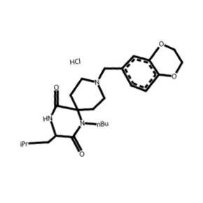 CCCCN1C(=O)C(CC(C)C)NC(=O)C12CCN(Cc1ccc3c(c1)OCCO3)CC2.Cl